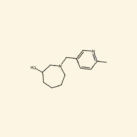 Cc1ccc(CN2CCCCC(O)C2)cn1